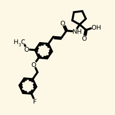 COc1cc(/C=C/C(=O)NC2(C(=O)O)CCCC2)ccc1OCc1cccc(F)c1